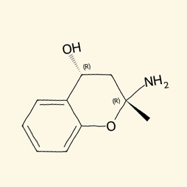 C[C@]1(N)C[C@@H](O)c2ccccc2O1